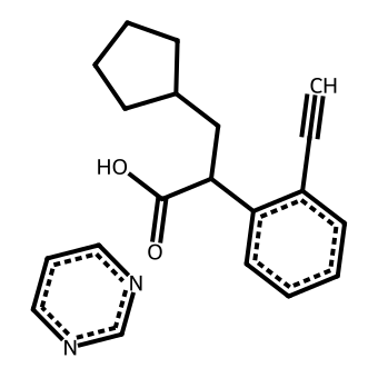 C#Cc1ccccc1C(CC1CCCC1)C(=O)O.c1cncnc1